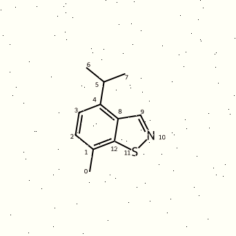 Cc1ccc(C(C)C)c2cnsc12